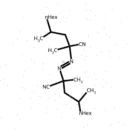 CCCCCCC(C)CC(C)(C#N)/N=N/C(C)(C#N)CC(C)CCCCCC